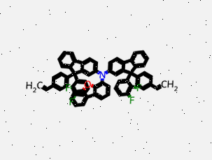 C=Cc1ccc(C2(c3cccc(F)c3F)c3ccccc3-c3ccc(N(c4ccc5c(c4)C(c4ccc(C=C)cc4)(c4cccc(F)c4F)c4ccccc4-5)c4cccc5c4oc4ccccc45)cc32)cc1